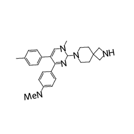 CNc1ccc(C2=NC(N3CCC4(CC3)CNC4)N(C)C=C2c2ccc(C)cc2)cc1